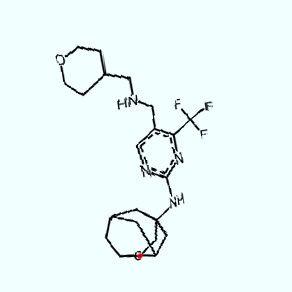 FC(F)(F)c1nc(NC23CCC4CC(CC(C4)C2)C3)ncc1CNCC1CCOCC1